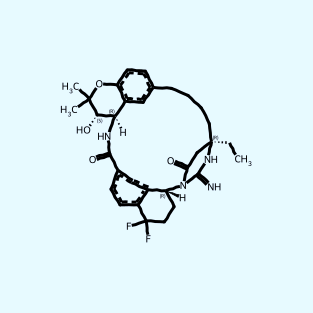 CC[C@]12CCCCc3ccc4c(c3)[C@@H](NC(=O)c3ccc5c(c3)[C@@H](CCC5(F)F)N(C(=N)N1)C(=O)C2)[C@H](O)C(C)(C)O4